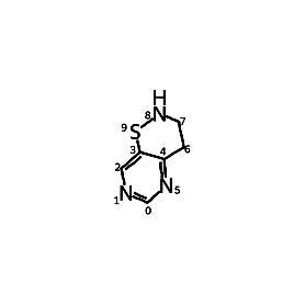 c1ncc2c(n1)CCNS2